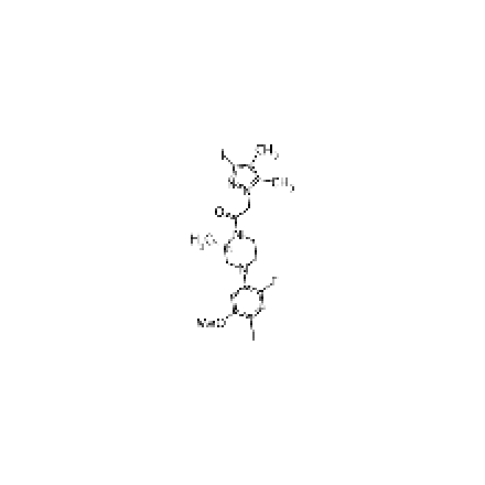 COc1cc(N2CCN(C(=O)Cn3nc(I)c(C)c3C)[C@@H](C)C2)c(F)cc1I